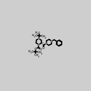 CC(C)(C)OC(=O)N1CCN(C(C)(C)C)C[C@@H]1C(=O)N1CCN(Cc2ccccc2)CC1